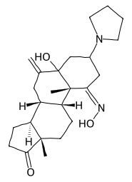 C=C1C[C@@H]2[C@@H](CC[C@]3(C)C(=O)CC[C@@H]23)[C@@]2(C)/C(=N\O)CC(N3CCCC3)CC12O